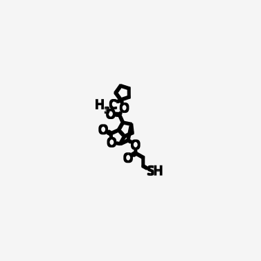 CC1(OC(=O)C2C3CC4C(OC(=O)C42)C3OC(=O)CCS)CCCC1